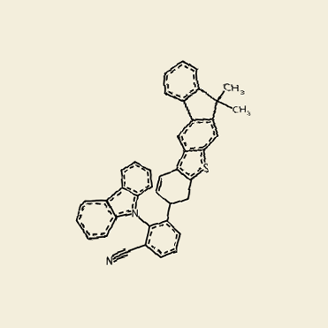 CC1(C)c2ccccc2-c2cc3c4c(sc3cc21)CC(c1cccc(C#N)c1-n1c2ccccc2c2ccccc21)C=C4